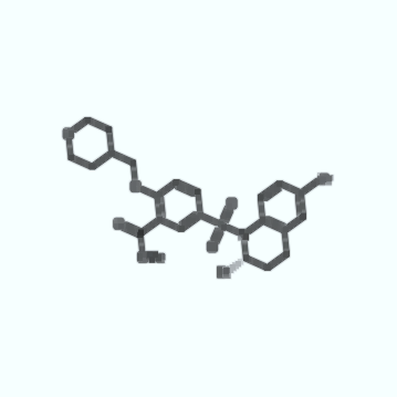 CC[C@H]1CCc2cc(C(C)C)ccc2N1S(=O)(=O)c1ccc(OCC2CCOCC2)c(C(=O)OC)c1